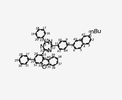 CCCCc1ccc2ccc(-c3ccc(-c4nc(-c5ccccc5)nc(-c5cc(-c6ccccc6)cc6oc7ccccc7c56)n4)cc3)cc2c1